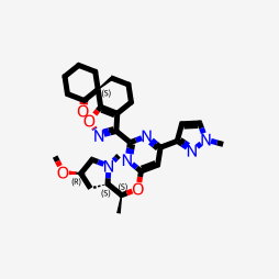 CO[C@@H]1C[C@@H]([C@H](C)Oc2cc(-c3ccn(C)n3)nc(-c3noc4c3CCC[C@@]43CCCCC3=O)n2)N(C)C1